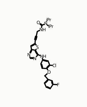 CC(C)N(C(=O)NCC#Cc1cc2ncnc(Nc3ccc(OCc4cccc(F)c4)c(Cl)c3)c2s1)C(C)C